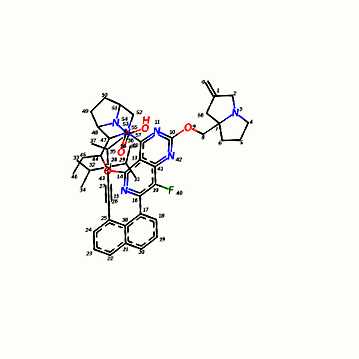 C=C1CN2CCCC2(COc2nc3c4c(nc(-c5cccc6cccc(C#C[Si](C(C)C)(C(C)C)C(C)C)c56)c(F)c4n2)OC(CC)C2C4CCC(CN32)N4C(=O)O)C1